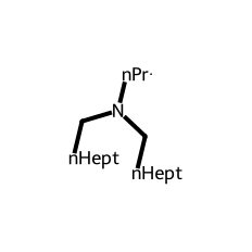 CC[CH]N(CCCCCCCC)CCCCCCCC